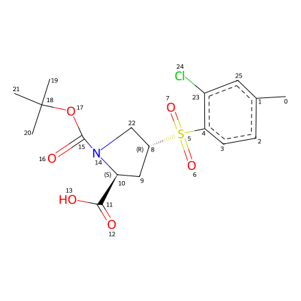 Cc1ccc(S(=O)(=O)[C@@H]2C[C@@H](C(=O)O)N(C(=O)OC(C)(C)C)C2)c(Cl)c1